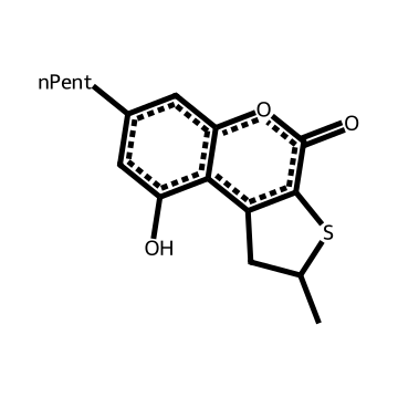 CCCCCc1cc(O)c2c3c(c(=O)oc2c1)SC(C)C3